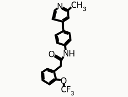 Cc1cc(-c2ccc(NC(=O)Cc3ccccc3OC(F)(F)F)cc2)ccn1